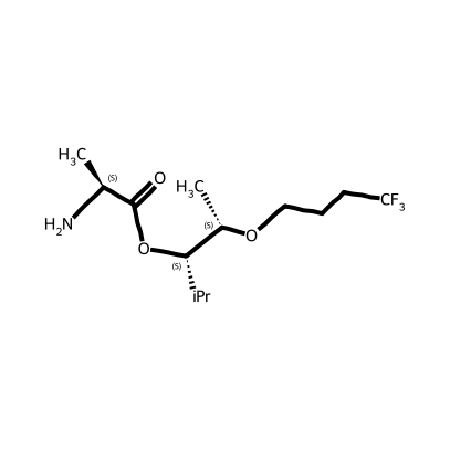 CC(C)[C@H](OC(=O)[C@H](C)N)[C@H](C)OCCCC(F)(F)F